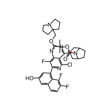 CC(C)(C)OC(=O)N1C2CCC1CN(c1nc(OCC34CCCN3CCC4)nc3c(F)c(-c4cc(O)cc5ccc(F)c(F)c45)nc(Cl)c13)C2